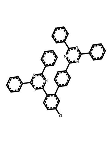 Clc1ccc(-c2nc(-c3ccccc3)nc(-c3ccccc3)n2)c(-c2ccc(-c3nc(-c4ccccc4)nc(-c4ccccc4)n3)cc2)c1